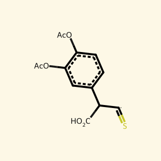 CC(=O)Oc1ccc(C([C]=S)C(=O)O)cc1OC(C)=O